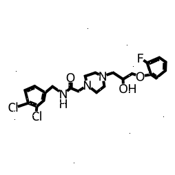 O=C(CN1CCN(CC(O)COc2ccccc2F)CC1)NCc1ccc(Cl)c(Cl)c1